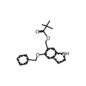 CC(C)(C)C(=O)OCc1cc2[nH]ccc2cc1OCc1ccccc1